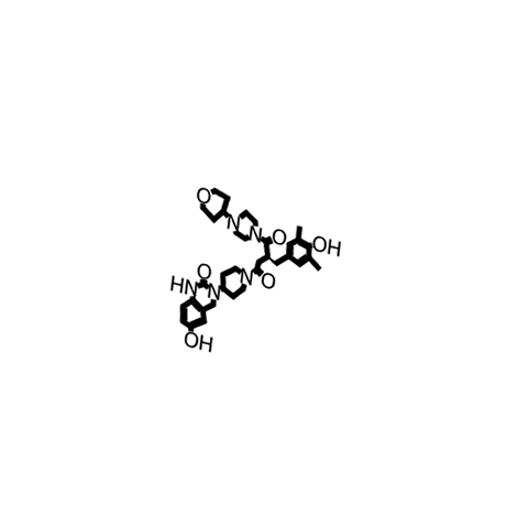 Cc1cc(C[C@@H](CC(=O)N2CCC(N3Cc4cc(O)ccc4NC3=O)CC2)C(=O)N2CCN(C3CCOCC3)CC2)cc(C)c1O